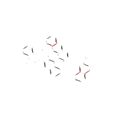 CC(C)(C)c1ccccc1OP(Oc1ccccc1C(C)(C)C)Oc1c(CC(=O)O)cc2ccccc2c1-c1c(OP(Oc2ccccc2C(C)(C)C)Oc2ccccc2C(C)(C)C)c(CC(=O)O)cc2ccccc12